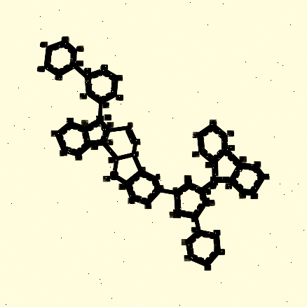 C1=CC2c3cc(-c4nc(-c5ccccc5)nc(-n5c6ccccc6c6ccccc65)n4)ccc3OC2c2c1n(-c1cccc(-c3ccccc3)c1)c1ccccc21